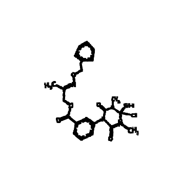 CC(COC(=O)c1cccc(N2C(=O)N(C)C(S)(Cl)N(C)C2=O)c1)=NOCc1ccccc1